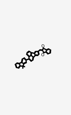 CC1(C)c2ccccc2-c2ccc(-c3ccc4c5c(cccc35)-c3cc(C=C5C(=O)c6ccccc6C5=O)ccc3-4)cc21